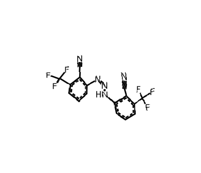 N#Cc1c(/N=N\Nc2cccc(C(F)(F)F)c2C#N)cccc1C(F)(F)F